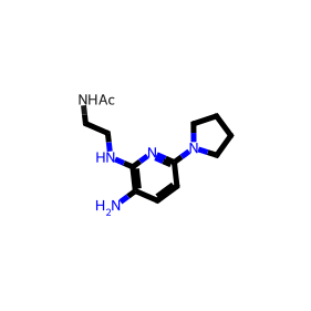 CC(=O)NCCNc1nc(N2CCCC2)ccc1N